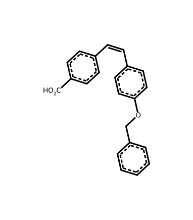 O=C(O)c1ccc(/C=C\c2ccc(OCc3ccccc3)cc2)cc1